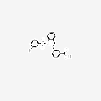 O=C(O)c1cccc(CCc2ccccc2NS(=O)(=O)c2cccc(F)c2)c1